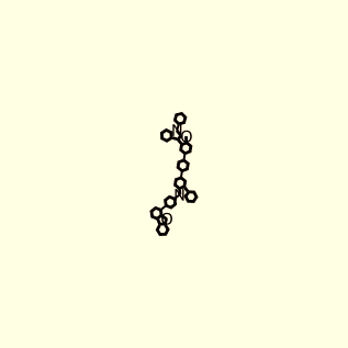 c1ccc(-n2c3ccccc3c3c4cc(-c5ccc(-c6ccc7c(c6)c6ccccc6n7-c6ccc(-c7cccc8c7oc7ccccc78)cc6)cc5)ccc4oc32)cc1